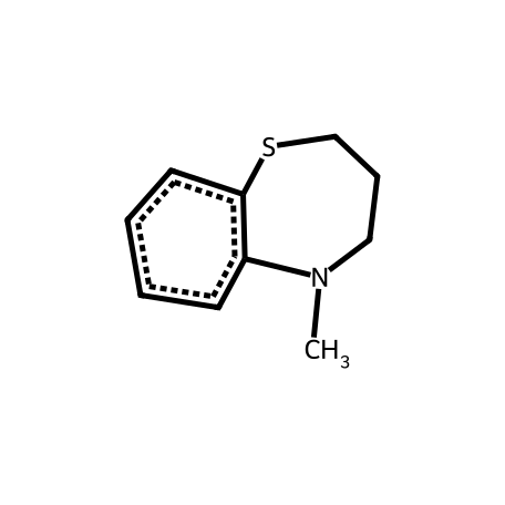 CN1CCCSc2ccccc21